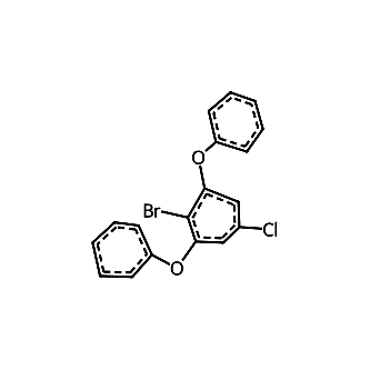 Clc1cc(Oc2ccccc2)c(Br)c(Oc2ccccc2)c1